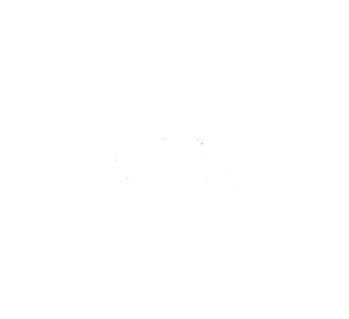 COC(=O)C1CCC(OC[C@@H]2CCCN2OCC(=O)OC(C)(C)C)CC1